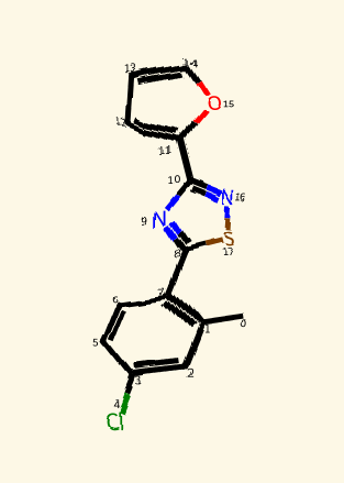 Cc1cc(Cl)ccc1-c1nc(-c2ccco2)ns1